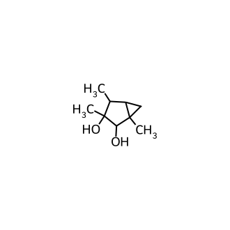 CC1C2CC2(C)C(O)C1(C)O